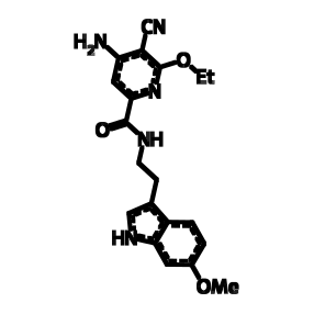 CCOc1nc(C(=O)NCCc2c[nH]c3cc(OC)ccc23)cc(N)c1C#N